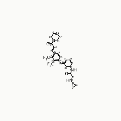 O=C(CNC1CC1)Nc1cccc(Sc2ccc(C=CC(=O)N3CCOCC3)c(C(F)(F)F)c2C(F)(F)F)c1